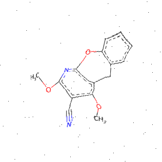 COc1nc2c(c(OC)c1C#N)Cc1ccccc1O2